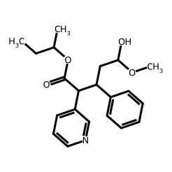 CCC(C)OC(=O)C(c1cccnc1)C(CC(O)OC)c1ccccc1